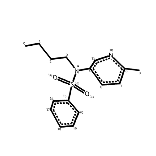 CCCCN(c1ccc(C)nc1)S(=O)(=O)c1ccccc1